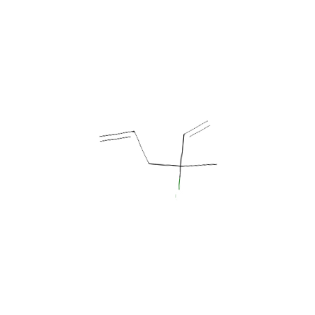 C=CCC(C)(Cl)C=C